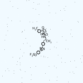 CCCc1ccc(C)cc1N1C(=O)CS/C1=N\C(=O)NCC(C)Cc1ccc(-c2ncn(-c3ccc(OC(F)(F)F)cc3)n2)cc1